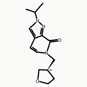 CC(C)n1cc2ccn(C[C@H]3CCOC3)c(=O)c2n1